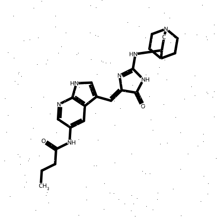 CCCC(=O)Nc1cnc2[nH]cc(C=C3N=C(NC4CN5CCC4CC5)NC3=O)c2c1